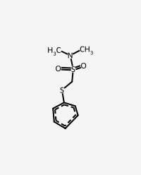 CN(C)S(=O)(=O)CSc1ccccc1